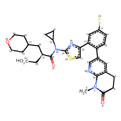 CN1C(=O)CCc2cc(-c3ccc(F)cc3-c3csc(N(C(=O)[C@@H](CC(=O)O)CC4CCOCC4)C4CC4)n3)cnc21